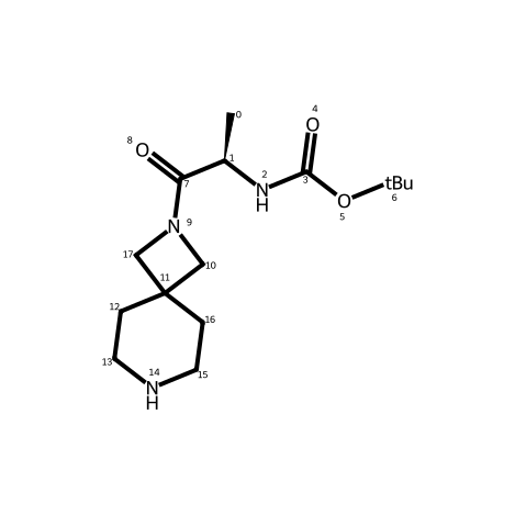 C[C@@H](NC(=O)OC(C)(C)C)C(=O)N1CC2(CCNCC2)C1